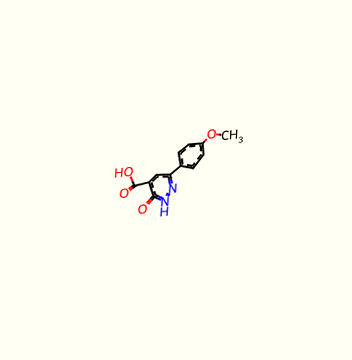 COc1ccc(-c2cc(C(=O)O)c(=O)[nH]n2)cc1